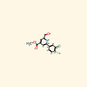 COC(=O)c1cc(C=O)nc(-c2ccc(F)c(Cl)c2)c1